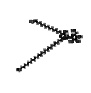 CCCCCCCCCCCCCCCCCCCCCCCCCC(=O)N[C@@H](CO[C@H]1OC(CO)[C@H](O)C(O)C1O)[C@H](O)CCCCCCCCCCCCCCC